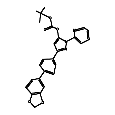 CC(C)(C)OC(=O)Oc1cc(-c2ccc(-c3ccc4c(c3)OCO4)cc2)nn1-c1ccccn1